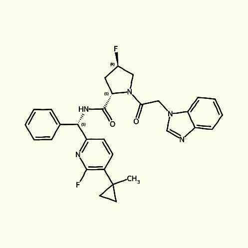 CC1(c2ccc([C@@H](NC(=O)[C@@H]3C[C@@H](F)CN3C(=O)Cn3cnc4ccccc43)c3ccccc3)nc2F)CC1